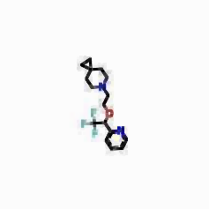 FC(F)(F)C(OCCN1CCC2(CC1)CC2)c1ccccn1